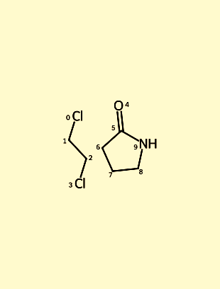 ClCCCl.O=C1CCCN1